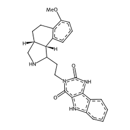 COc1cccc2c1CC[C@H]1CNC(CCn3c(=O)[nH]c4c([nH]c5ccccc54)c3=O)[C@@H]21